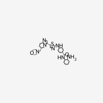 Nc1ccccc1NC(=O)c1ccc(Nc2ncc(-c3cnc4ccc(CN5CCOCC5)cn34)s2)cc1